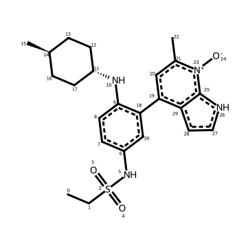 CCS(=O)(=O)Nc1ccc(N[C@H]2CC[C@H](C)CC2)c(-c2cc(C)[n+]([O-])c3[nH]ccc23)c1